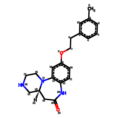 Cc1cccc(CCOc2ccc3c(c2)N2CCNC[C@@H]2CC(=O)N3)c1